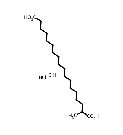 CC(CCCCCCCCCCCCCCCC(=O)O)C(=O)O.Cl.Cl